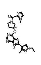 CCn1cc(-c2nc3c(O[C@H]4CCN(C(=O)c5nccn5C)C4)ncnc3n2C)c(C)n1